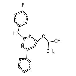 CC(C)Oc1cc(-c2ccccc2)nc(Nc2ccc(F)cc2)n1